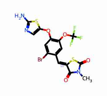 CN1C(=O)S/C(=C\c2cc(OC(F)(F)F)c(Oc3cnc(N)s3)cc2Br)C1=O